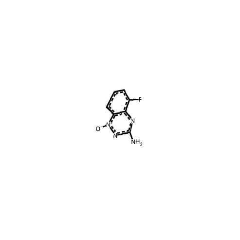 Nc1nc2c(F)cccc2[n+]([O-])n1